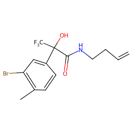 C=CCCNC(=O)C(O)(c1ccc(C)c(Br)c1)C(F)(F)F